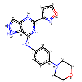 c1cc(-c2nc(Nc3ccc(N4CCOCC4)cc3)c3[nH]ncc3n2)no1